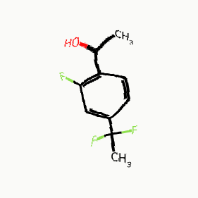 CC(O)c1ccc(C(C)(F)F)cc1F